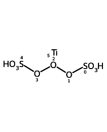 O=S(=O)(O)OOOS(=O)(=O)O.[Ti]